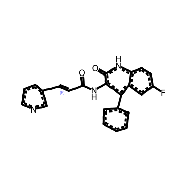 O=C(/C=C/c1cccnc1)Nc1c(-c2ccccc2)c2cc(F)ccc2[nH]c1=O